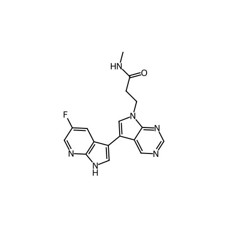 CNC(=O)CCn1cc(-c2c[nH]c3ncc(F)cc23)c2cncnc21